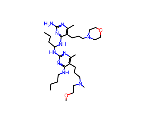 CCCCNc1nc(NC(CCC)Nc2nc(N)nc(C)c2CCCN2CCOCC2)nc(C)c1CCCN(C)CCOC